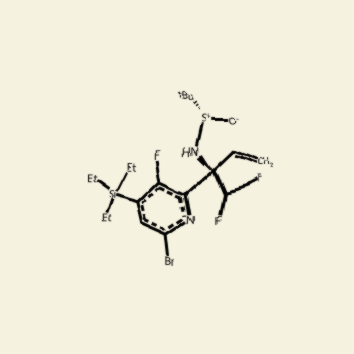 C=C[C@@](N[S@@+]([O-])C(C)(C)C)(c1nc(Br)cc([Si](CC)(CC)CC)c1F)C(F)F